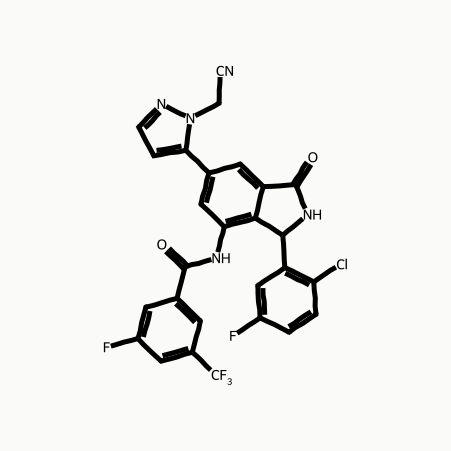 N#CCn1nccc1-c1cc(NC(=O)c2cc(F)cc(C(F)(F)F)c2)c2c(c1)C(=O)NC2c1cc(F)ccc1Cl